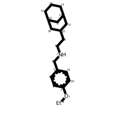 CCOc1ccc(CNCCC2CC3CCCC(C3)C2)cc1